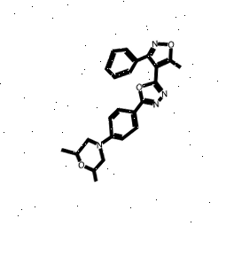 Cc1onc(-c2ccccc2)c1-c1nnc(-c2ccc(N3CC(C)OC(C)C3)cc2)o1